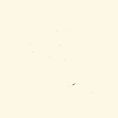 N[C@@H]1c2nc(Cl)sc2CC12CCN(c1nc3[nH]nc(C4(c5ccccc5)CC4)c3c3nncn13)CC2